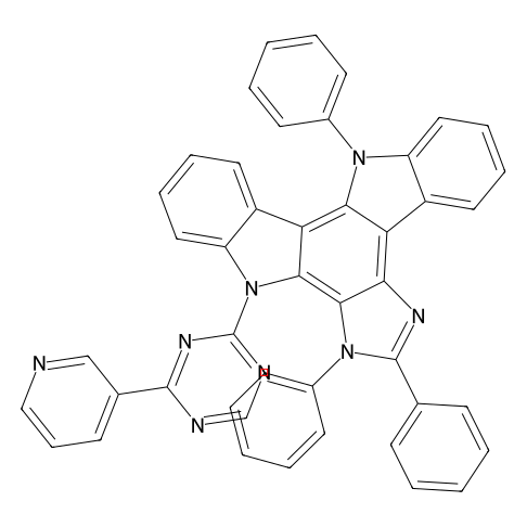 c1ccc(-c2nc3c4c5ccccc5n(-c5ccccc5)c4c4c5ccccc5n(-c5ncnc(-c6cccnc6)n5)c4c3n2-c2ccccc2)cc1